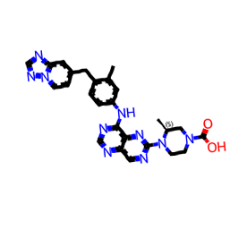 Cc1cc(Nc2ncnc3cnc(N4CCN(C(=O)O)C[C@@H]4C)nc23)ccc1Cc1ccn2ncnc2c1